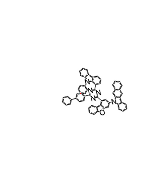 c1ccc(-c2ccc(-c3nc(-c4cc(-n5c6ccccc6c6cc7ccccc7cc65)cc5oc6ccccc6c45)nc(-c4cccc5c6ccccc6n(-c6ccccc6)c45)n3)cc2)cc1